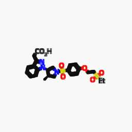 CCS(=O)(=O)CCOc1ccc(S(=O)(=O)N2C[C@@H](C)[C@@H](n3nc(CC(=O)O)c4ccccc43)C2)cc1